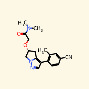 Cc1cc(C#N)ccc1-c1cnn2c1C[C@@H](OCC(=O)N(C)C)C2